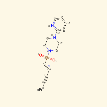 CCCC#C/C=C/S(=O)(=O)N1CCN(c2ccccn2)CC1